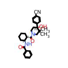 CC1(C)CN(C(=O)[C@H]2CCCC[C@H]2NC(=O)c2ccccc2)CC[C@]1(O)c1ccc(C#N)cc1